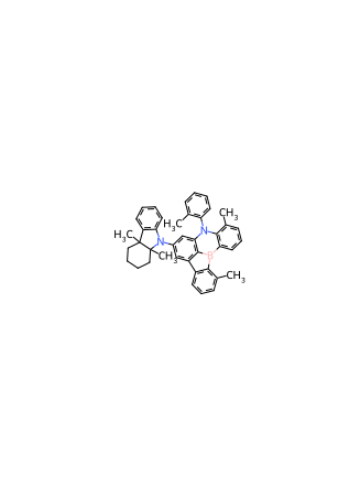 Cc1ccccc1N1c2cc(N3c4ccccc4C4(C)CCCCC34C)cc3c2B(c2cccc(C)c21)c1c(C)cccc1-3